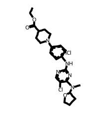 CCOC(=O)C1CCN(c2ccc(Nc3ncc(Cl)c(N(C)C4CCCO4)n3)cc2)CC1.Cl